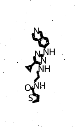 O=C(NCCCNc1nc(Nc2ccc3cnccc3c2)ncc1C1CC1)c1cccs1